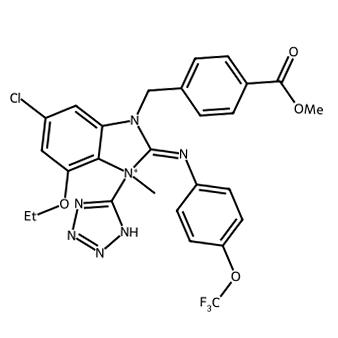 CCOc1cc(Cl)cc2c1[N+](C)(c1nnn[nH]1)C(=Nc1ccc(OC(F)(F)F)cc1)N2Cc1ccc(C(=O)OC)cc1